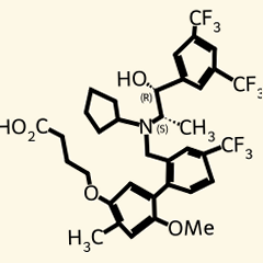 COc1cc(C)c(OCCCC(=O)O)cc1-c1ccc(C(F)(F)F)cc1CN(C1CCCC1)[C@@H](C)[C@H](O)c1cc(C(F)(F)F)cc(C(F)(F)F)c1